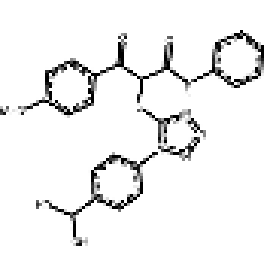 COc1ccc(C(=O)C(Sc2nnnn2-c2ccc(C(O)O)cc2)C(=O)Nc2ccccc2)cc1